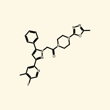 Cc1nnc(N2CCN(C(=O)Cn3nc(-c4cc(C)c(F)cn4)cc3-c3ccccc3)CC2)o1